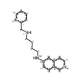 c1ccc(CNCCCCNc2ccc3cnccc3c2)nc1